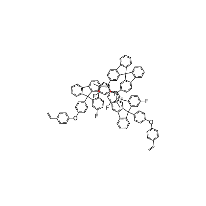 C=Cc1ccc(Oc2ccc(C3(c4cc(F)ccc4F)c4ccccc4-c4ccc(N(c5ccc(C)c(F)c5)c5ccc6c(c5)C5(c7ccccc7-6)c6ccccc6-c6ccc(N(c7ccc(C)c(F)c7)c7ccc8c(c7)C(c7ccc(Oc9ccc(C=C)cc9)cc7)(c7cc(F)ccc7F)c7ccccc7-8)cc65)cc43)cc2)cc1